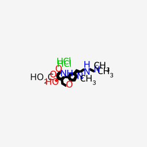 CN(C)CCNCc1cc2cc3c(cc2n1C)OCCc1c-3[nH]c(=O)c(OC(=O)O)c1O.Cl.Cl